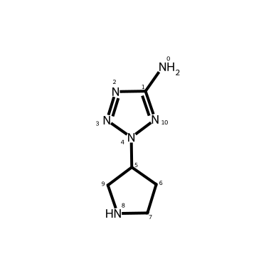 Nc1nnn(C2CCNC2)n1